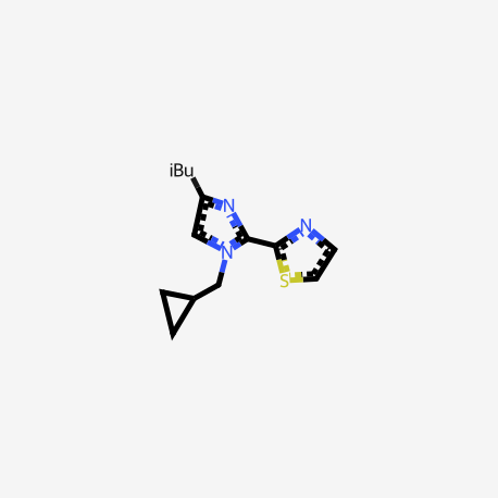 CCC(C)c1cn(CC2CC2)c(-c2nccs2)n1